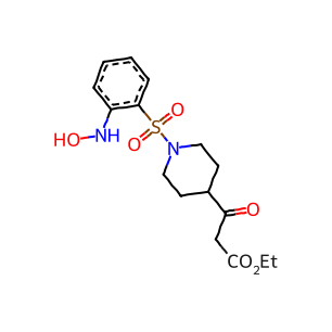 CCOC(=O)CC(=O)C1CCN(S(=O)(=O)c2ccccc2NO)CC1